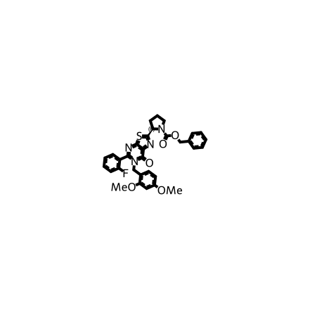 COc1ccc(Cn2c(-c3ccccc3F)nc3sc([C@H]4CCCN4C(=O)OCc4ccccc4)nc3c2=O)c(OC)c1